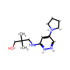 CC(C)(CO)CNc1cc(N2CCCC2)cnn1